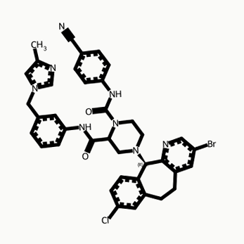 Cc1cn(Cc2cccc(NC(=O)C3CN([C@@H]4c5ccc(Cl)cc5CCc5cc(Br)cnc54)CCN3C(=O)Nc3ccc(C#N)cc3)c2)cn1